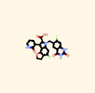 O=C(O)c1c(-c2ccc[nH]c2=O)c2c3c(c(F)cc2n1Cc1cc2c(=O)[nH]c(=O)[nH]c2cc1F)CCO3